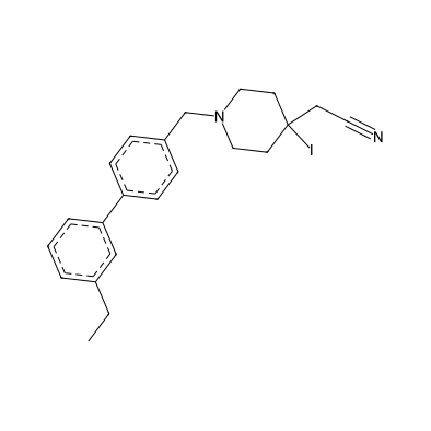 CCc1cccc(-c2ccc(CN3CCC(I)(CC#N)CC3)cc2)c1